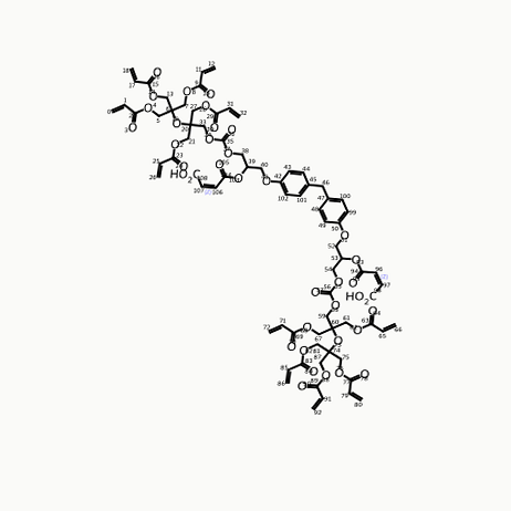 C=CC(=O)OCC(COC(=O)C=C)(COC(=O)C=C)OC(COC(=O)C=C)(COC(=O)C=C)COC(=O)OCC(COc1ccc(Cc2ccc(OCC(COC(=O)OCC(COC(=O)C=C)(COC(=O)C=C)OC(COC(=O)C=C)(COC(=O)C=C)COC(=O)C=C)OC(=O)/C=C\C(=O)O)cc2)cc1)OC(=O)/C=C\C(=O)O